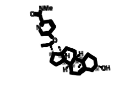 CNC(=O)c1ccc(OC(C)[C@H]2CC[C@H]3[C@@H]4CC=C5C[C@@H](O)CC[C@]5(C)[C@H]4CC[C@]23C)cn1